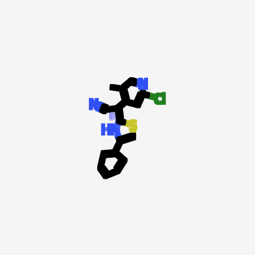 Cc1cnc(Cl)cc1/C(C#N)=C1/NC(c2ccccc2)=CS1